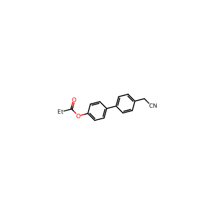 CCC(=O)Oc1ccc(-c2ccc(CC#N)cc2)cc1